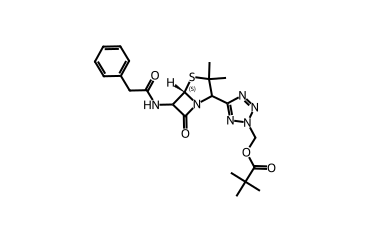 CC(C)(C)C(=O)OCn1nnc(C2N3C(=O)C(NC(=O)Cc4ccccc4)[C@@H]3SC2(C)C)n1